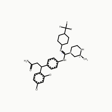 C[C@H]1CN(/C(=N\C2CCC(C(F)(F)F)CC2)Nc2ccc(C(CC(N)=O)c3ccc(Cl)cc3Cl)cc2)CCN1